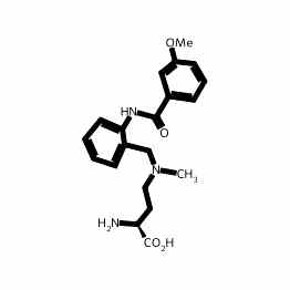 COc1cccc(C(=O)Nc2ccccc2CN(C)CC[C@H](N)C(=O)O)c1